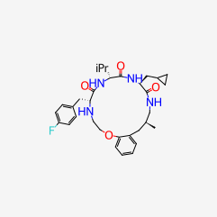 CC(C)[C@H]1NC(=O)[C@@H](Cc2ccc(F)cc2)NCCOc2ccccc2C[C@H](C)CNC(=O)[C@H](CC2CC2)NC1=O